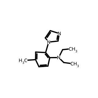 CCN(CC)c1ccc(C)cc1-n1ccnc1